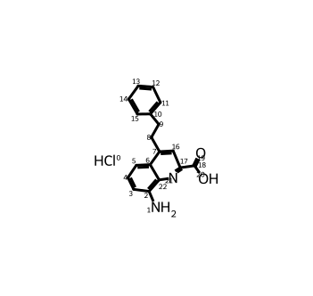 Cl.Nc1cccc2c(CCc3ccccc3)cc(C(=O)O)nc12